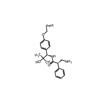 CCCC(C)COc1ccc([C@@H](NC(=O)[C@@H](CN)c2ccccc2)C(C)(C)O)cc1